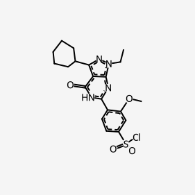 CCn1nc(C2CCCCC2)c2c(=O)[nH]c(-c3ccc(S(=O)(=O)Cl)cc3OC)nc21